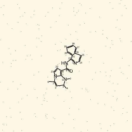 CC1=CC(C)N(C)c2c(C(=O)Nc3nccc4ccccc34)ccn21